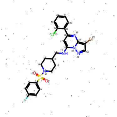 O=S(=O)(c1ccc(F)cc1)N1CCC(CNc2cc(-c3ccccc3Cl)nc3c(Br)cnn23)CC1